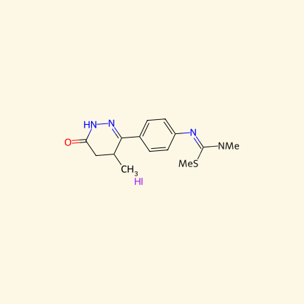 CNC(=Nc1ccc(C2=NNC(=O)CC2C)cc1)SC.I